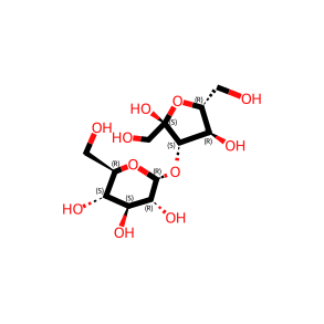 OC[C@H]1O[C@@](O)(CO)[C@@H](O[C@H]2O[C@H](CO)[C@@H](O)[C@H](O)[C@H]2O)[C@@H]1O